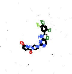 C[C@H](Nc1nc(N2CCN(C(=O)[C@H]3CCC(=O)N3)CC2)ncc1Cl)c1cc(F)c(Cl)cc1Cl